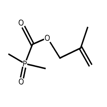 C=C(C)COC(=O)P(C)(C)=O